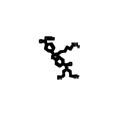 COC(=O)c1ccc(-c2nc3ccc(C(=O)N(CCC(C)C)CCC(C)C)cc3n2CCCCN)cc1